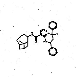 CC1(c2ccccc2)CC(c2ccccc2)Nc2c(C(=O)NC34CC5CC6CC(C3)C6(C5)C4)cnn21